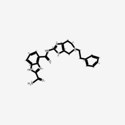 NC(=O)c1nc2c(C(=O)Nc3nc4c(s3)CN(CCc3ccccc3)CC4)cccc2[nH]1